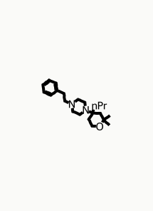 CCCC1(N2CCN(CCc3ccccc3)CC2)CCOC(C)(C)C1